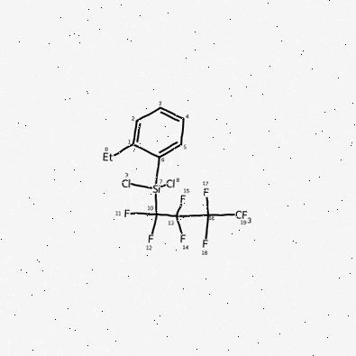 CCc1ccccc1[Si](Cl)(Cl)C(F)(F)C(F)(F)C(F)(F)C(F)(F)F